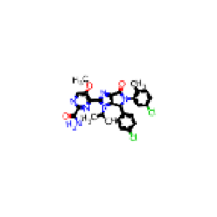 COc1cnc(C(N)=O)nc1-c1nc2c(n1C(C)C)C(c1ccc(Cl)cc1)N(c1cc(Cl)ccc1C)C2=O